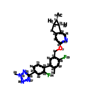 CC(=O)[C@H]1[C@@H]2Cc3cc(OCc4cc(-c5ccc(-c6nnn(C)n6)cc5F)c(C)cc4F)ncc3[C@@H]21